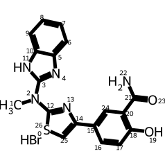 Br.CN(c1nc2ccccc2[nH]1)c1nc(-c2ccc(O)c(C(N)=O)c2)cs1